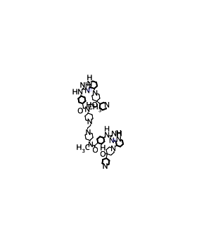 CN(C(=O)c1ccc(NC(=N)/N=c2\[nH]cccc2N2CCC(O)(c3ccncc3)CC2)cc1)C1CCN(CCN2CCC(N(C)C(=O)c3ccc(NC(=N)/N=c4\[nH]cccc4N4CCC(O)(c5cccnc5)CC4)cc3)CC2)CC1